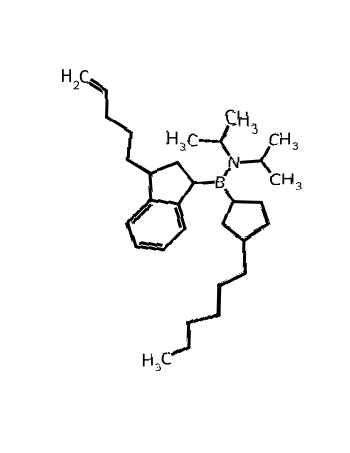 C=CCCCC1CC(B(C2CCC(CCCCCC)C2)N(C(C)C)C(C)C)c2ccccc21